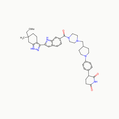 COCC1(C)CCc2c(-c3cc4ccc(C(=O)N5CCN(CC6CCN(c7ccc(C8CCC(=O)NC8=O)cc7)CC6)CC5)cc4[nH]3)n[nH]c2C1